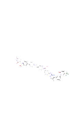 O=C1CCC(n2c(=O)oc3cc(C4CCN(CCC5CCN(C(=O)[C@@H]6CCC[C@H](Nc7ncc(F)c(-c8cccc(-n9cc(C(F)(F)F)ccc9=O)c8)n7)C6)CC5)CC4)ccc32)C(=O)N1